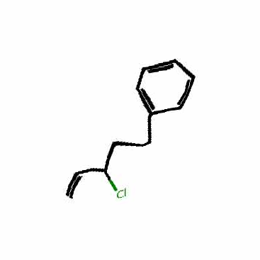 C=CC(Cl)CCc1ccccc1